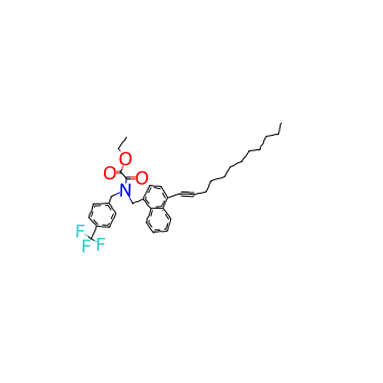 CCCCCCCCCCC#Cc1ccc(CN(Cc2ccc(C(F)(F)F)cc2)C(=O)C(=O)OCC)c2ccccc12